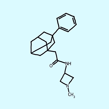 CN1CC(NC(=O)CC23CC4CC(C2)CC(c2ccccc2)(C4)C3)C1